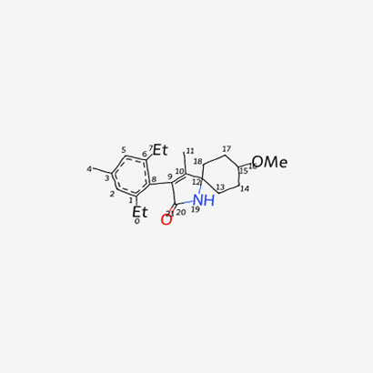 CCc1cc(C)cc(CC)c1C1=C(C)C2(CCC(OC)CC2)NC1=O